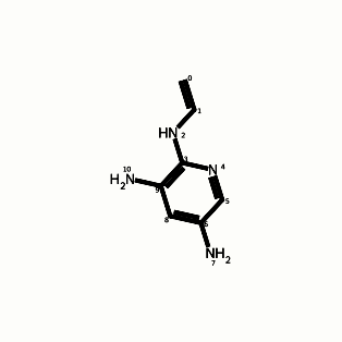 C=CNc1ncc(N)cc1N